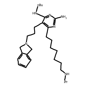 CCCCNc1nc(N)nc(CCCCCCCNC(C)C)c1CCCN1Cc2ccccc2C1